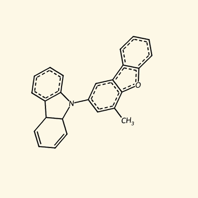 Cc1cc(N2c3ccccc3C3C=CC=CC32)cc2c1oc1ccccc12